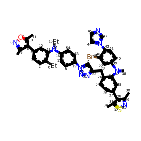 CCc1ccc(-c2c(C)noc2C)cc1N(CC)c1ccc(-n2cc(Cc3ccc(-c4c(C)nsc4C)cc3N(C)c3ccc(-n4ccnc4)c(Br)c3)nn2)cc1